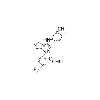 CN1CC=C[C@@H](Nc2nnc(-c3ccc(C(F)(F)F)cc3OC=O)c3cncn23)C1